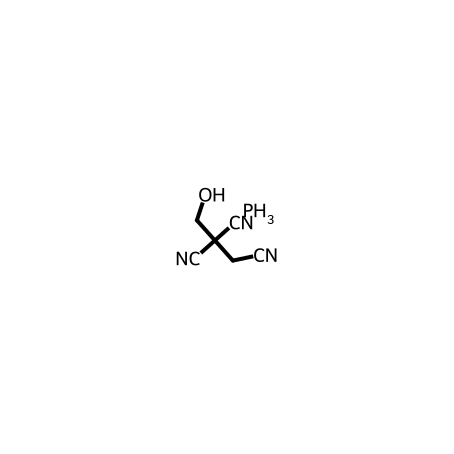 N#CCC(C#N)(C#N)CO.P